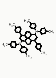 Cc1ccc(C2=CC(N(c3ccc(C)cc3)c3ccc(C)cc3)c3ccc4c(-c5ccc(C)cc5)cc(N(c5ccc(C)cc5)c5ccc(C)cc5)c5c4c3C2=CC5)cc1